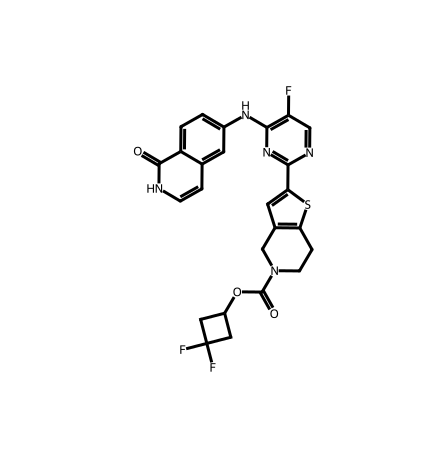 O=C(OC1CC(F)(F)C1)N1CCc2sc(-c3ncc(F)c(Nc4ccc5c(=O)[nH]ccc5c4)n3)cc2C1